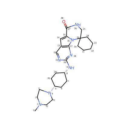 CN1CCN([C@H]2CC[C@@H](Nc3ncc4cc5n(c4n3)C3(CCCCC3)CNC5=O)CC2)CC1